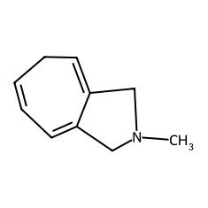 CN1CC2=CC=CCC=C2C1